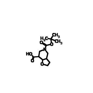 CC(C)(C)OC(=O)N1CC2CCOC2C(C(=O)O)C1